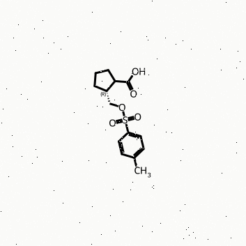 Cc1ccc(S(=O)(=O)OC[C@@H]2CCCC2C(=O)O)cc1